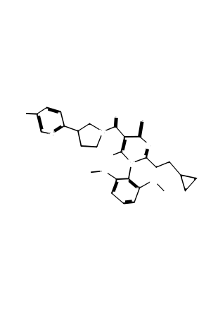 COc1cccc(OC)c1-n1c(CCC2CC2)nc(=O)c(C(=O)N2CCC(c3ccc(F)cn3)C2)c1O